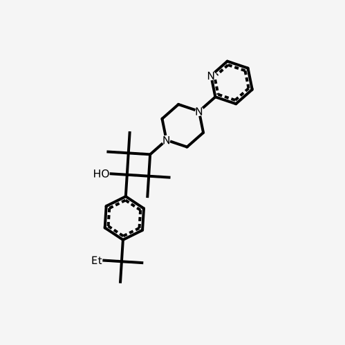 CCC(C)(C)c1ccc(C2(O)C(C)(C)C(N3CCN(c4ccccn4)CC3)C2(C)C)cc1